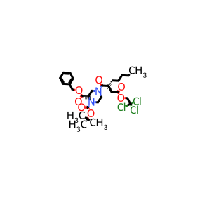 CCCCC[C@H](CC(=O)OCC(Cl)(Cl)Cl)C(=O)N1CCN(C(=O)OC(C)(C)C)[C@@H](C(=O)OCc2ccccc2)C1